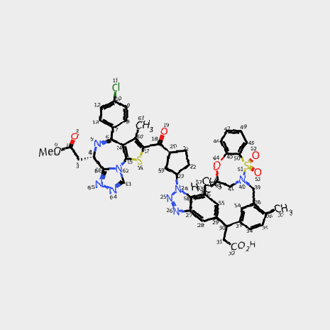 COC(=O)C[C@@H]1N=C(c2ccc(Cl)cc2)c2c(sc(C(=O)[C@H]3CCC(n4nnc5cc(C(CC(=O)O)c6ccc(C)c(CN7CC(C)Oc8ccccc8S7(=O)=O)c6)cc(C)c54)C3)c2C)-n2cnnc21